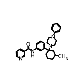 CC1CCCC(c2cccc(NC(=O)c3cccnc3)c2)(N2CCN(c3ccccc3)CC2)C1